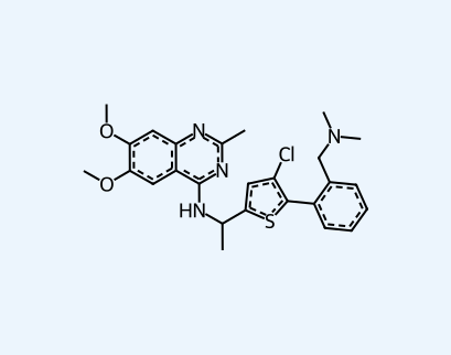 COc1cc2nc(C)nc(NC(C)c3cc(Cl)c(-c4ccccc4CN(C)C)s3)c2cc1OC